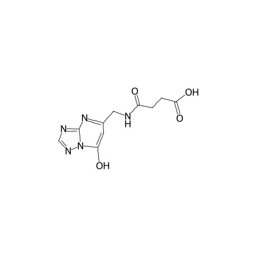 O=C(O)CCC(=O)NCc1cc(O)n2ncnc2n1